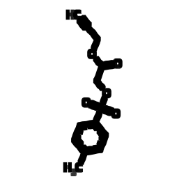 C#CCOC(=O)COS(=O)(=O)c1ccc(C)cc1